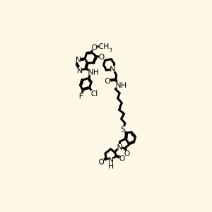 COc1cc2ncnc(Nc3ccc(F)c(Cl)c3)c2cc1OC1CCN(CC(=O)NCCCCCCCCSc2cccc3c2CN(C2CCC(=O)NC2=O)C3=O)CC1